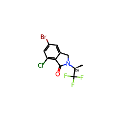 C[C@H](N1Cc2cc(Br)cc(Cl)c2C1=O)C(F)(F)F